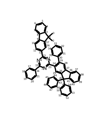 CC1(C)c2ccccc2-c2ccc(-c3nc(-c4ccccc4)nc(-c4cc5c(cc4-c4ccccc4)-c4ccccc4C5(c4ccccc4)c4ccccc4)n3)cc21